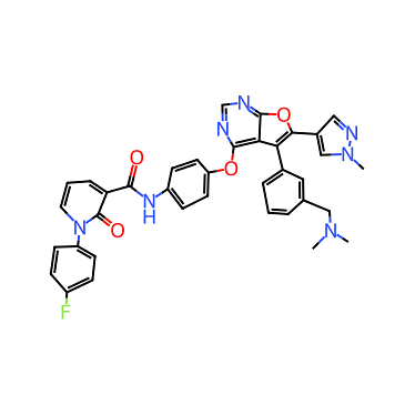 CN(C)Cc1cccc(-c2c(-c3cnn(C)c3)oc3ncnc(Oc4ccc(NC(=O)c5cccn(-c6ccc(F)cc6)c5=O)cc4)c23)c1